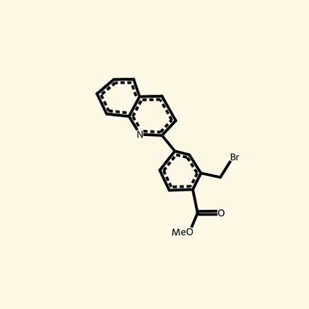 COC(=O)c1ccc(-c2ccc3ccccc3n2)cc1CBr